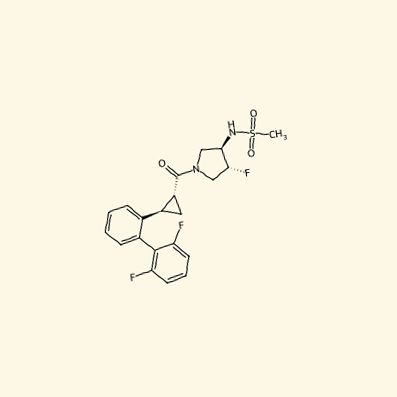 CS(=O)(=O)N[C@@H]1CN(C(=O)[C@@H]2C[C@H]2c2ccccc2-c2c(F)cccc2F)C[C@H]1F